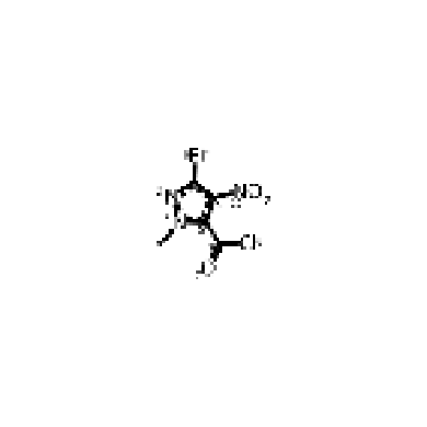 CCc1nn(C)c(C(=O)Cl)c1[N+](=O)[O-]